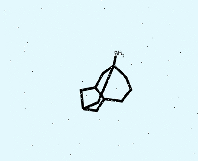 BC12CCCC3CC(CC3C1)C2